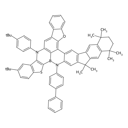 CC(C)(C)c1ccc(N2c3cc4c(oc5ccccc54)c4c3B(c3sc5ccc(C(C)(C)C)cc5c32)N(c2ccc(-c3ccccc3)cc2)c2cc3c(cc2-4)-c2cc4c(cc2C3(C)C)C(C)(C)CCC4(C)C)cc1